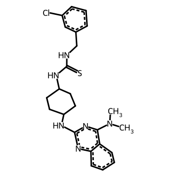 CN(C)c1nc(NC2CCC(NC(=S)NCc3cccc(Cl)c3)CC2)nc2ccccc12